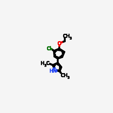 CCOc1ccc(-c2cc(C)[nH]c2C)cc1Cl